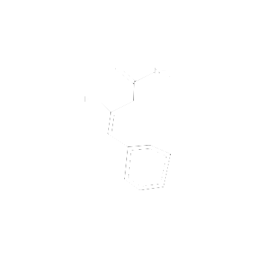 CC(=Cc1ccccc1)CC(N)=O